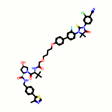 Cc1ncsc1-c1ccc(CNC(=O)[C@@H]2C[C@@H](O)CN2C(=O)[C@@H](NC(=O)COCCCCOc2ccc(-c3ccc(N4C(=S)N(c5ccc(C#N)c(Cl)c5)C(=O)C4(C)C)c(F)c3)cc2)C(C)(C)C)cc1